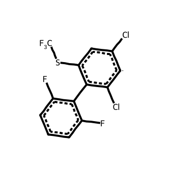 Fc1cccc(F)c1-c1c(Cl)[c]c(Cl)cc1SC(F)(F)F